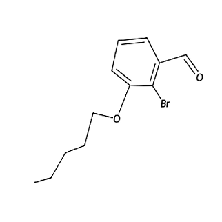 CCCCCOc1cccc(C=O)c1Br